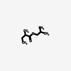 CCC(C)C(=O)OCC(C)N